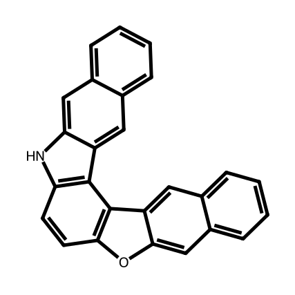 c1ccc2cc3c(cc2c1)[nH]c1ccc2oc4cc5ccccc5cc4c2c13